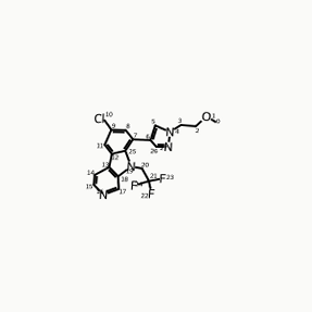 COCCn1cc(-c2cc(Cl)cc3c4ccncc4n(CC(F)(F)F)c23)cn1